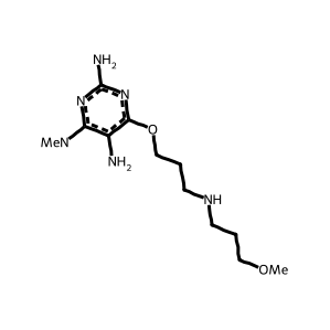 CNc1nc(N)nc(OCCCNCCCOC)c1N